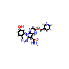 Cc1ccc(O)cc1-n1c(N)c(C(N)=O)c2nc(OCc3cccnc3)cnc21